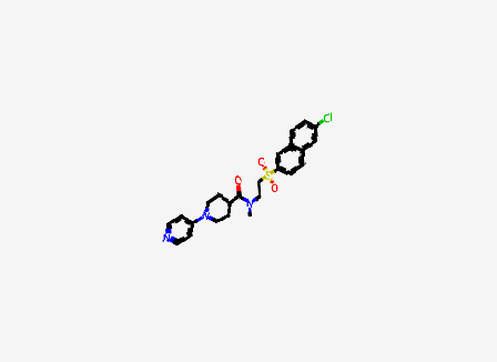 CN(CCS(=O)(=O)c1ccc2cc(Cl)ccc2c1)C(=O)C1CCN(c2ccncc2)CC1